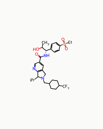 CCS(=O)(=O)c1ccc([C@H](NC(=O)c2cnc3c(c2)CN(CC2CCC(C(F)(F)F)CC2)C3C(C)C)[C@H](C)O)cc1